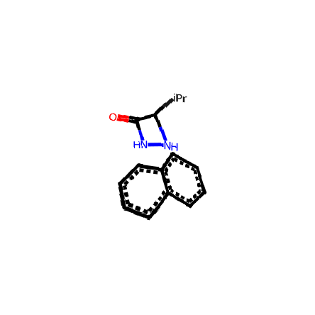 CC(C)C1NNC1=O.c1ccc2ccccc2c1